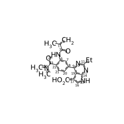 C=C(C)C(=O)Nc1cc(-c2nc(CC)nc3[nH]cc(C(=O)O)c23)ccc1C(=O)N(C)C